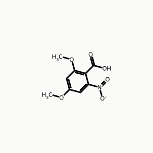 COc1cc(OC)c(C(=O)O)c([N+](=O)[O-])c1